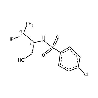 CC(C)[C@H](C)[C@@H](CO)NS(=O)(=O)c1ccc(Cl)cc1